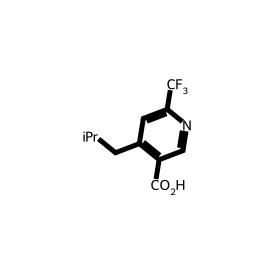 CC(C)Cc1cc(C(F)(F)F)ncc1C(=O)O